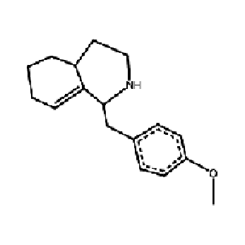 COc1ccc(CC2NCCC3CCCC=C32)cc1